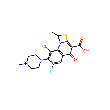 CC1Sc2c(C(=O)O)c(=O)c3cc(F)c(N4CCN(C)CC4)c(Cl)c3n21